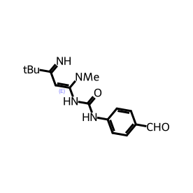 CN/C(=C\C(=N)C(C)(C)C)NC(=O)Nc1ccc(C=O)cc1